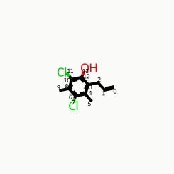 C=CCc1c(C)c(Cl)c(C)c(Cl)c1O